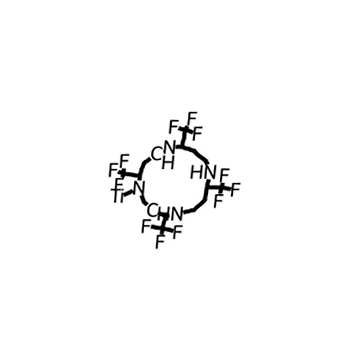 FC(F)(F)C1CCNC(C(F)(F)F)CC[N]([Ti])C(C(F)(F)F)CCNC(C(F)(F)F)CCN1